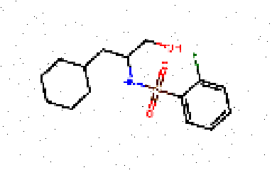 O=S(=O)(NC(CO)CC1CCCCC1)c1ccccc1F